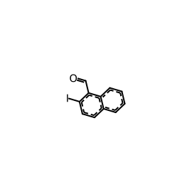 O=Cc1c(I)ccc2ccccc12